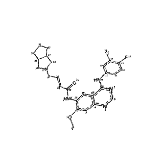 COc1cc2ncnc(Nc3ccc(F)c(Cl)c3)c2cc1NC(=O)C=CCN1CC2CCCC2C1